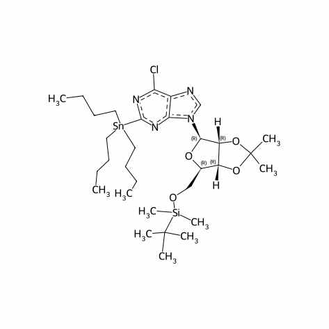 CCC[CH2][Sn]([CH2]CCC)([CH2]CCC)[c]1nc(Cl)c2ncn([C@@H]3O[C@H](CO[Si](C)(C)C(C)(C)C)[C@H]4OC(C)(C)O[C@H]43)c2n1